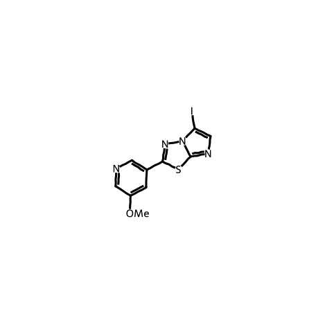 COc1cncc(-c2nn3c(I)cnc3s2)c1